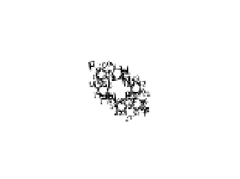 Cc1ccc2c(c1)P(c1ccc(F)cc1)c1cc(C)ccc1Nc1ccc(C)cc1P(c1ccc(F)cc1)c1cc(C)ccc1N2